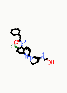 O=C(CC1CCCCC1)Nc1c(Cl)ccc2nc(N3CCC[C@H](NCCO)C3)ccc12